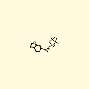 CC1(C)OB([C@H]2CC2c2ccc3ncsc3c2)OC1(C)C